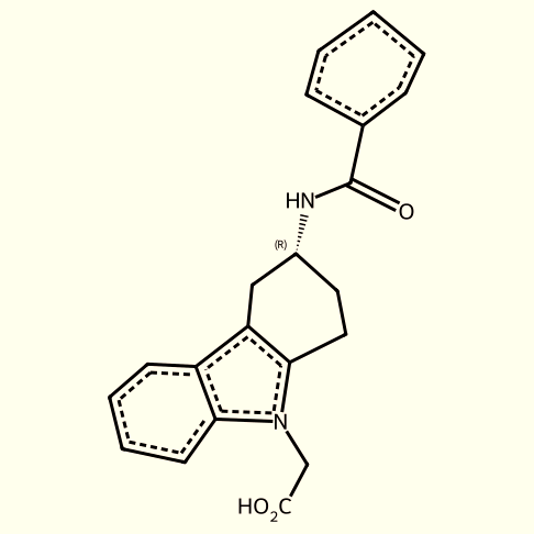 O=C(O)Cn1c2c(c3ccccc31)C[C@H](NC(=O)c1ccccc1)CC2